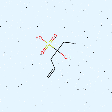 [CH2]CC(O)(CC=C)S(=O)(=O)O